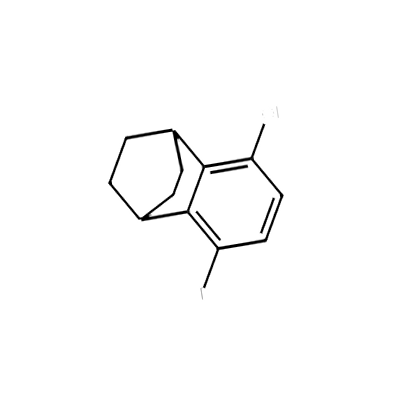 Oc1ccc(I)c2c1C1CCC2CC1